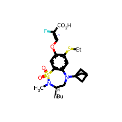 CCCC[C@@H]1CN(C23CC(C2)C3)c2cc(SCC)c(O/C=C(\F)C(=O)O)cc2S(=O)(=O)N1C